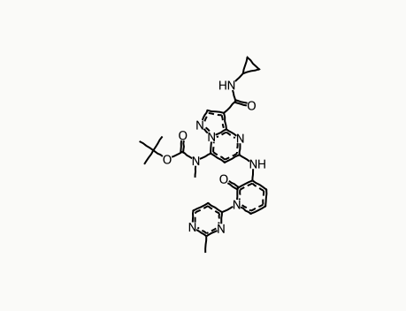 Cc1nccc(-n2cccc(Nc3cc(N(C)C(=O)OC(C)(C)C)n4ncc(C(=O)NC5CC5)c4n3)c2=O)n1